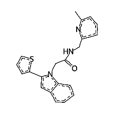 Cc1cccc(CNC(=O)Cn2c(-c3cccs3)cc3ccccc32)n1